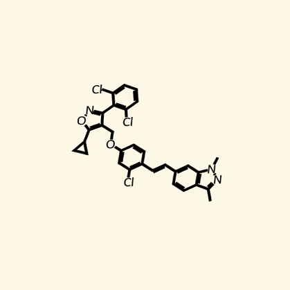 Cc1nn(C)c2cc(/C=C/c3ccc(OCc4c(-c5c(Cl)cccc5Cl)noc4C4CC4)cc3Cl)ccc12